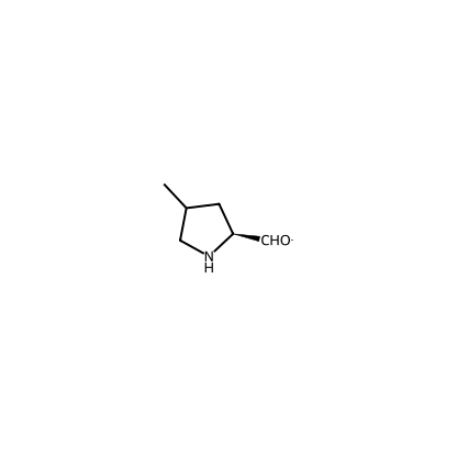 CC1CN[C@H]([C]=O)C1